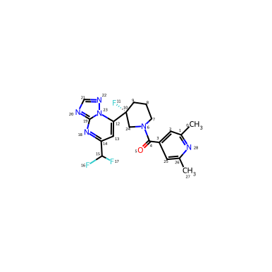 Cc1cc(C(=O)N2CCC[C@](F)(c3cc(C(F)F)nc4ncnn34)C2)cc(C)n1